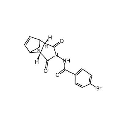 O=C(NN1C(=O)[C@@H]2C3C=CC(C3)[C@@H]2C1=O)c1ccc(Br)cc1